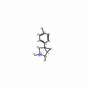 Cc1ccc(C23CC2C(C)N(C)C3)cc1